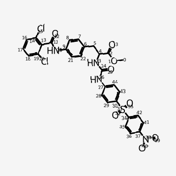 COC(=O)C(Cc1ccc(NC(=O)c2c(Cl)cccc2Cl)cc1)NC(=O)Nc1ccc(S(=O)(=O)c2ccc([N+](=O)[O-])cc2)cc1